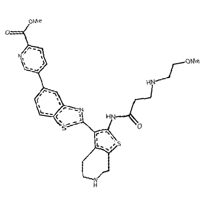 COCCNCCC(=O)Nc1sc2c(c1-c1nc3cc(-c4ccc(C(=O)OC)nc4)ccc3s1)CCNC2